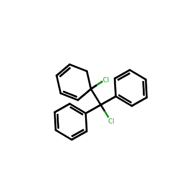 ClC1(C(Cl)(c2ccccc2)c2ccccc2)C=CC=CC1